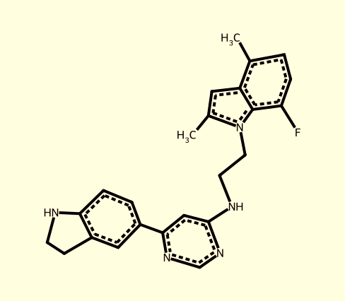 Cc1ccc(F)c2c1cc(C)n2CCNc1cc(-c2ccc3c(c2)CCN3)ncn1